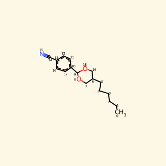 CCCCCCC1COC(c2ccc(C#N)cc2)OC1